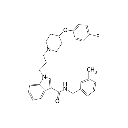 Cc1cccc(CNC(=O)c2cn(CCCN3CCC(Oc4ccc(F)cc4)CC3)c3ccccc23)c1